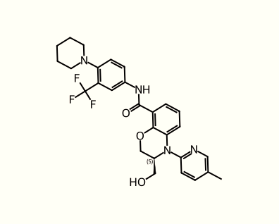 Cc1ccc(N2c3cccc(C(=O)Nc4ccc(N5CCCCC5)c(C(F)(F)F)c4)c3OC[C@@H]2CO)nc1